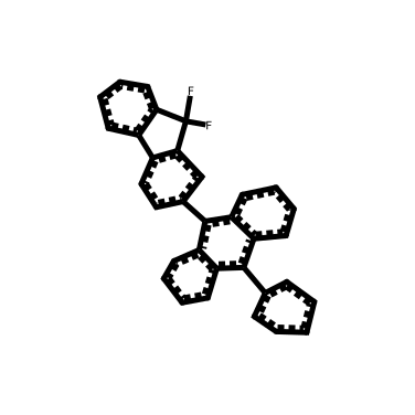 FC1(F)c2ccccc2-c2ccc(-c3c4ccccc4c(-c4ccccc4)c4ccccc34)cc21